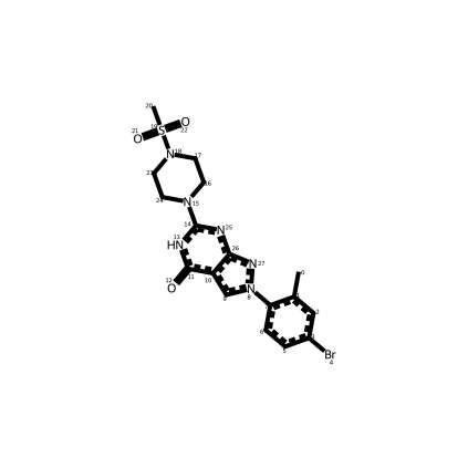 Cc1cc(Br)ccc1-n1cc2c(=O)[nH]c(N3CCN(S(C)(=O)=O)CC3)nc2n1